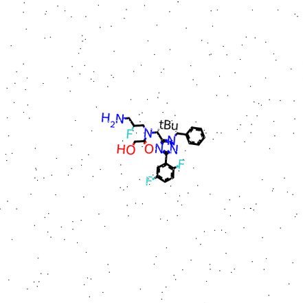 CC(C)(C)[C@H](c1nc(-c2cc(F)ccc2F)nn1Cc1ccccc1)N(C[C@@H](F)CN)C(=O)CO